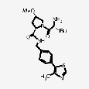 CO[C@H]1C[C@H](C(=O)NCc2ccc(-c3scnc3C)cc2)N(C(=O)[C@H](N)C(C)(C)C)C1